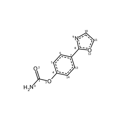 NC(=O)Oc1ccc(-c2ncco2)cc1